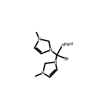 CCCCCC(Br)(N1C=CN(C)C1)N1C=CN(C)C1